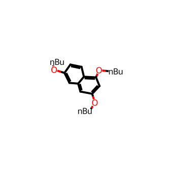 CCCCOc1ccc2c(OCCCC)cc(OCCCC)cc2c1